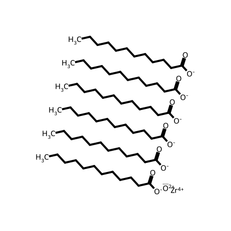 CCCCCCCCCCCC(=O)[O-].CCCCCCCCCCCC(=O)[O-].CCCCCCCCCCCC(=O)[O-].CCCCCCCCCCCC(=O)[O-].CCCCCCCCCCCC(=O)[O-].CCCCCCCCCCCC(=O)[O-].[O+2].[Zr+4]